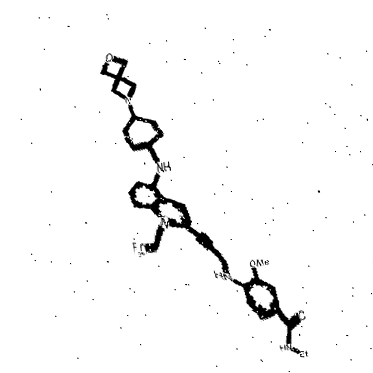 CCNC(=O)c1ccc(NCC#Cc2cc3c(NC4CCC(N5CC6(COC6)C5)CC4)cccc3n2CC(F)(F)F)c(OC)c1